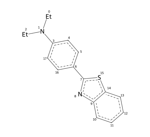 CCN(CC)c1ccc(-c2nc3ccccc3s2)cc1